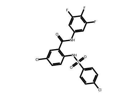 O=C(Nc1cc(F)c(F)c(F)c1)c1cc(Cl)ccc1NS(=O)(=O)c1ccc(Cl)cc1